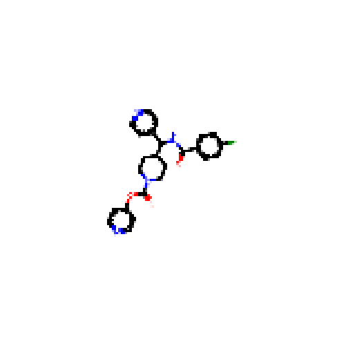 O=C(NC(c1ccncc1)C1CCN(C(=O)Oc2ccncc2)CC1)c1ccc(F)cc1